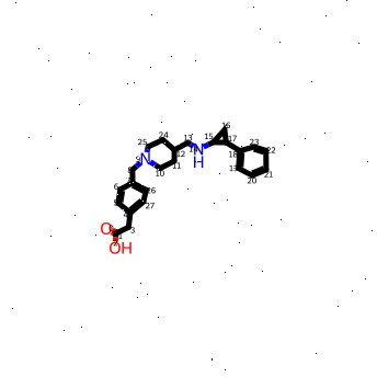 O=C(O)Cc1ccc(CN2CCC(CNC3CC3c3ccccc3)CC2)cc1